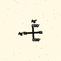 CCC(CC)(C(=O)[O-])C(=O)[O-].[Ag+].[Ag+]